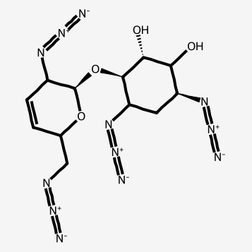 [N-]=[N+]=NCC1C=CC(N=[N+]=[N-])[C@@H](O[C@@H]2C(N=[N+]=[N-])C[C@H](N=[N+]=[N-])C(O)[C@H]2O)O1